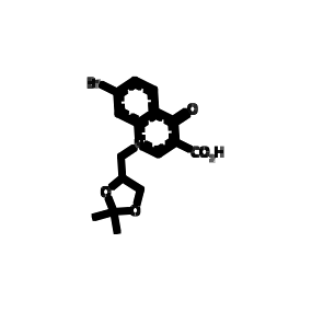 CC1(C)OCC(Cn2cc(C(=O)O)c(=O)c3ccc(Br)cc32)O1